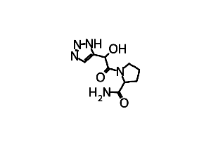 NC(=O)C1CCCN1C(=O)C(O)c1cnn[nH]1